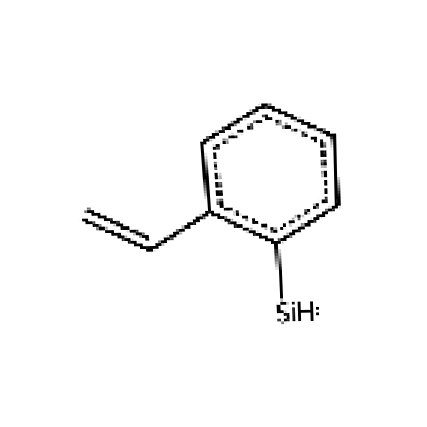 C=Cc1ccccc1[SiH]